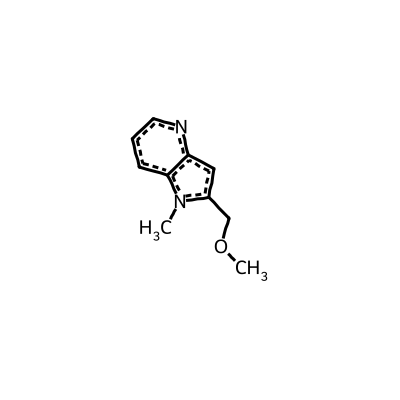 COCc1cc2ncccc2n1C